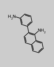 Nc1cccc(-c2ccc3ccccc3c2N)c1